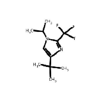 CC(C)n1cc(C(C)(C)C)nc1C(F)(F)F